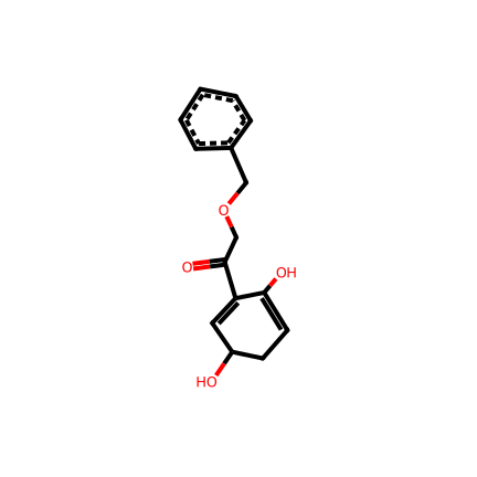 O=C(COCc1ccccc1)C1=CC(O)CC=C1O